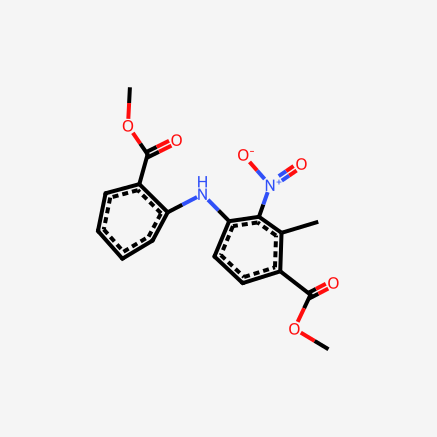 COC(=O)c1ccccc1Nc1ccc(C(=O)OC)c(C)c1[N+](=O)[O-]